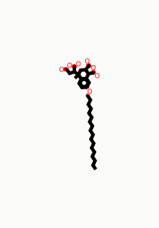 CCCCCCCCCCCCCCCCCCOc1ccc2c(c1)C1C(=O)OC(=O)C1CC2(C)C1CC(=O)OC1=O